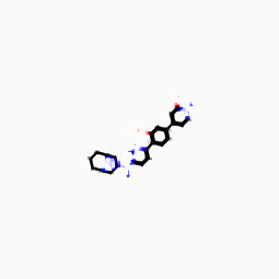 CN(c1ccc(-c2ccc(-c3ccn(C)c(=O)c3)cc2O)nn1)[C@H]1C[C@]2(C)CCC[C@](C)(C1)N2